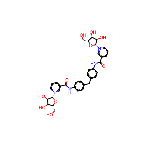 O=C(Nc1ccc(Cc2ccc(NC(=O)c3ccc[n+]([C@@H]4O[C@H](CO)[C@@H](O)[C@H]4O)c3)cc2)cc1)c1ccc[n+]([C@@H]2O[C@H](CO)[C@@H](O)[C@H]2O)c1